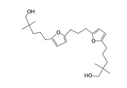 CC(C)(CO)CCCc1ccc(CCCc2ccc(CCCC(C)(C)CO)o2)o1